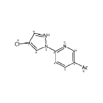 CC(=O)c1ccc(-n2cc(Cl)cn2)nc1